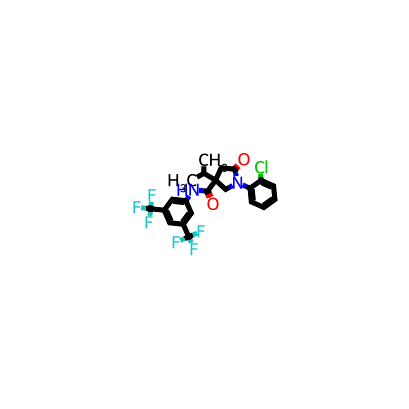 CC(C)C1(C(=O)Nc2cc(C(F)(F)F)cc(C(F)(F)F)c2)CC(=O)N(c2ccccc2Cl)C1